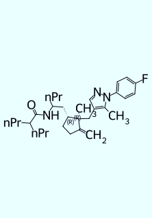 C=C1CC[C@H](CC(CCC)NC(=O)C(CCC)CCC)[C@@]1(C)Cc1cnn(-c2ccc(F)cc2)c1C